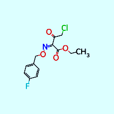 CCOC(=O)C(=NOCc1ccc(F)cc1)C(=O)CCl